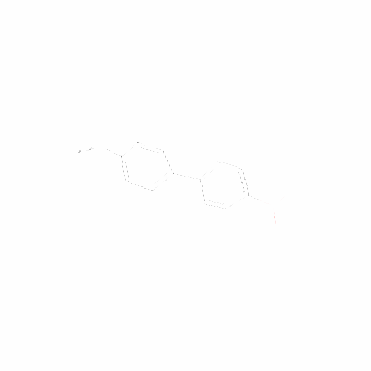 CCCCCCCc1ccc(-c2ccc(B(O)O)cc2)cc1